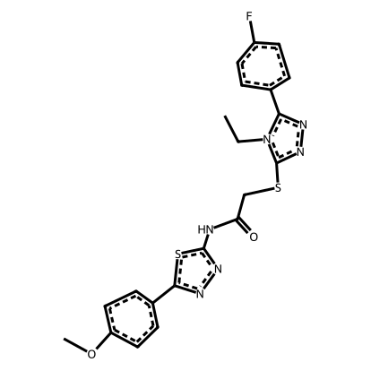 CCn1c(SCC(=O)Nc2nnc(-c3ccc(OC)cc3)s2)nnc1-c1ccc(F)cc1